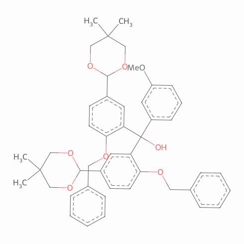 COc1cccc(C(O)(c2cc(C3OCC(C)(C)CO3)ccc2OCc2ccccc2)c2cc(C3OCC(C)(C)CO3)ccc2OCc2ccccc2)c1